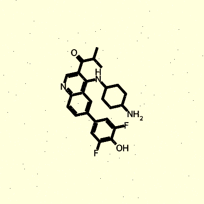 CC(C)C(=O)c1cnc2ccc(-c3cc(F)c(O)c(F)c3)cc2c1NC1CCC(N)CC1